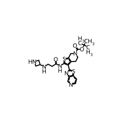 CC(C)(C)OC(=O)N1CCc2c(sc(NC(=O)CCNC3CNC3)c2-c2nc3cnccc3s2)C1